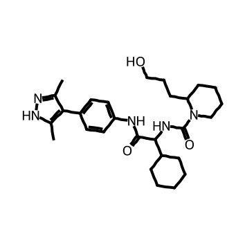 Cc1n[nH]c(C)c1-c1ccc(NC(=O)C(NC(=O)N2CCCCC2CCCO)C2CCCCC2)cc1